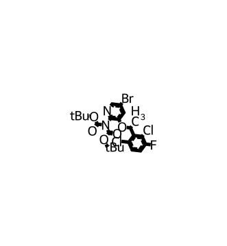 CC(Oc1cc(Br)cnc1N(C(=O)OC(C)(C)C)C(=O)OC(C)(C)C)c1c(Cl)ccc(F)c1Cl